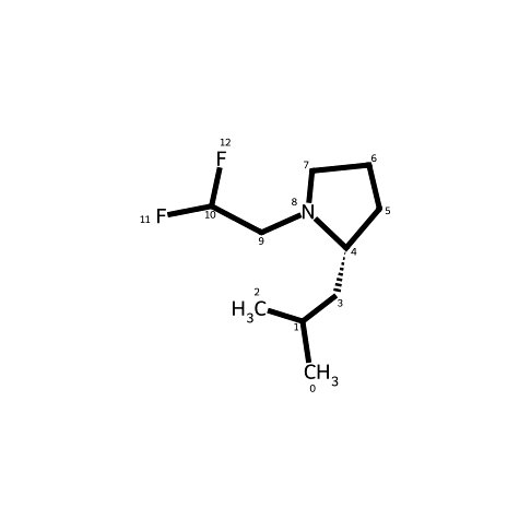 CC(C)C[C@H]1CCCN1CC(F)F